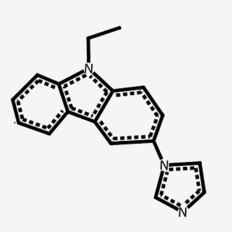 CCn1c2cc[c]cc2c2cc(-n3ccnc3)ccc21